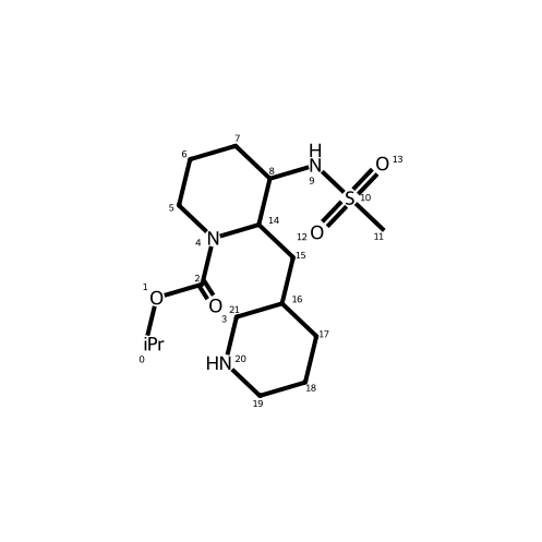 CC(C)OC(=O)N1CCCC(NS(C)(=O)=O)C1CC1CCCNC1